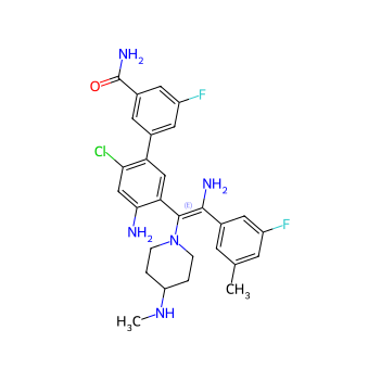 CNC1CCN(/C(=C(/N)c2cc(C)cc(F)c2)c2cc(-c3cc(F)cc(C(N)=O)c3)c(Cl)cc2N)CC1